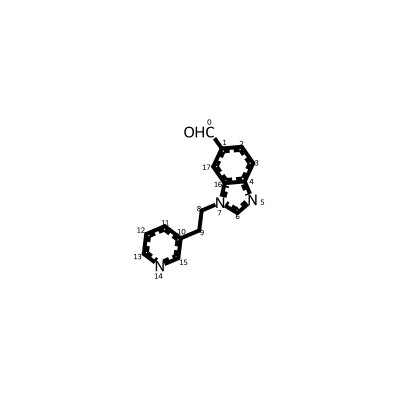 O=Cc1ccc2ncn(CCc3cccnc3)c2c1